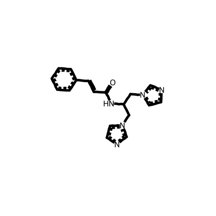 O=C(C=Cc1ccccc1)NC(Cn1ccnc1)Cn1ccnc1